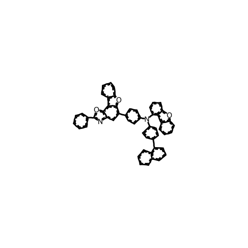 c1ccc(-c2nc3cc(-c4ccc(N(c5ccc(-c6cccc7ccccc67)cc5)c5cccc6oc7ccccc7c56)cc4)c4oc5ccccc5c4c3o2)cc1